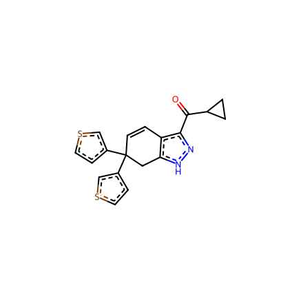 O=C(c1n[nH]c2c1C=CC(c1ccsc1)(c1ccsc1)C2)C1CC1